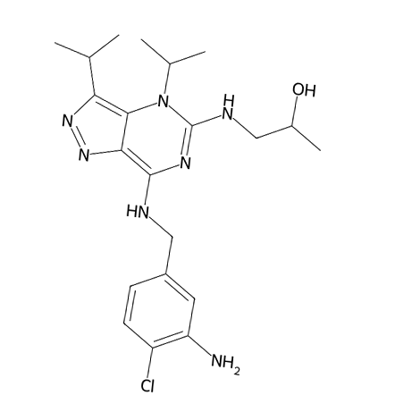 CC(O)CNc1nc(NCc2ccc(Cl)c(N)c2)c2nnc(C(C)C)c-2n1C(C)C